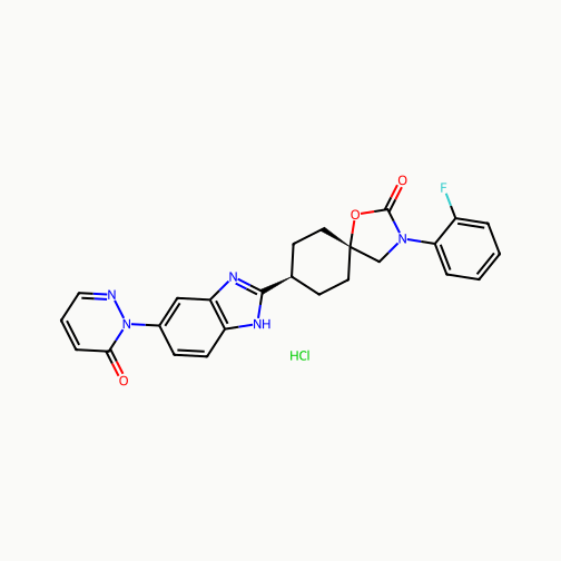 Cl.O=C1O[C@]2(CC[C@H](c3nc4cc(-n5ncccc5=O)ccc4[nH]3)CC2)CN1c1ccccc1F